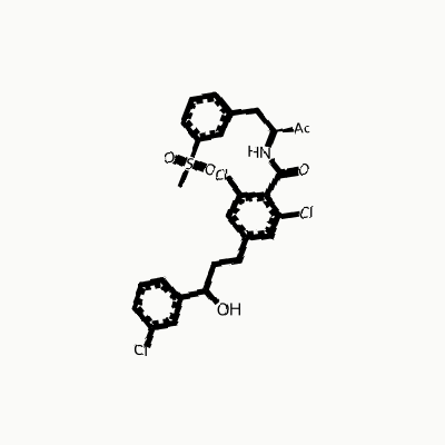 CC(=O)[C@H](Cc1cccc(S(C)(=O)=O)c1)NC(=O)c1c(Cl)cc(CCC(O)c2cccc(Cl)c2)cc1Cl